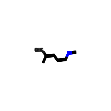 C=N/C=C\C=C(/C)C=O